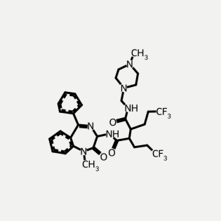 CN1CCN(CNC(=O)C(CCC(F)(F)F)C(CCC(F)(F)F)C(=O)NC2N=C(c3ccccc3)c3ccccc3N(C)C2=O)CC1